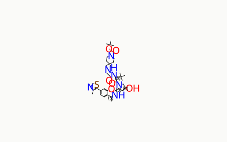 Cc1ncsc1-c1ccc([C@H](C)NC(=O)[C@@H]2C[C@@H](O)CN2C(=O)[C@@H](NC(=O)CN2CC3(CCN(C(=O)OC(C)(C)C)CC3)C2)C(C)(C)C)cc1